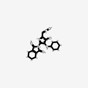 O=C=Cc1sc(N2C(=O)C3=C(CCCC3)C2=O)c(OC2CCCCC2)c1Cl